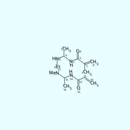 C=C(C)C(=O)NC(C)NCC.C=CC(=O)NC(C)NC